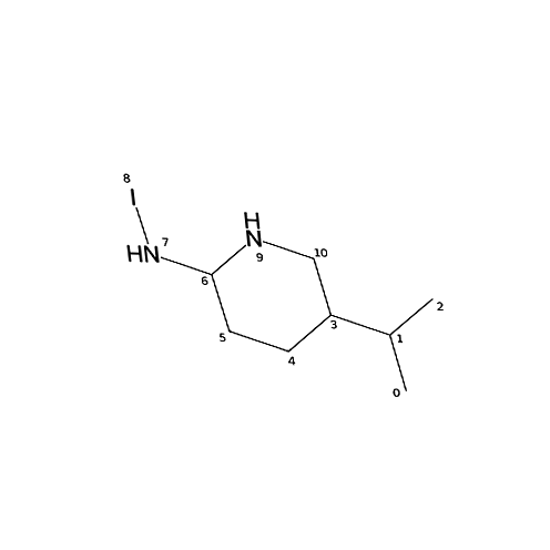 CC(C)C1CCC(NI)NC1